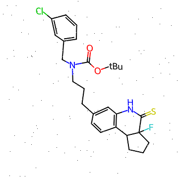 CC(C)(C)OC(=O)N(CCCc1ccc2c(c1)NC(=S)C1(F)CCCC21)Cc1cccc(Cl)c1